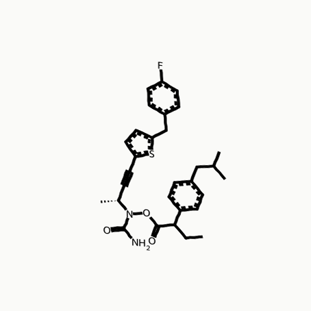 CCC(C(=O)ON(C(N)=O)[C@H](C)C#Cc1ccc(Cc2ccc(F)cc2)s1)c1ccc(CC(C)C)cc1